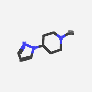 CCN1CCC(n2c[c]cn2)CC1